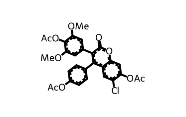 COc1cc(-c2c(-c3ccc(OC(C)=O)cc3)c3cc(Cl)c(OC(C)=O)cc3oc2=O)cc(OC)c1OC(C)=O